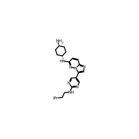 CC(C)CCNc1ncc(-c2cnc3ccc(N[C@H]4CC[C@H](N)CC4)nn23)cn1